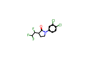 O=C1C(C(F)C(F)F)CCN1c1ccc(Cl)c(Cl)c1